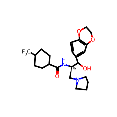 O=C(N[C@H](CN1CCCC1)C(O)c1ccc2c(c1)OCCO2)C1CCC(C(F)(F)F)CC1